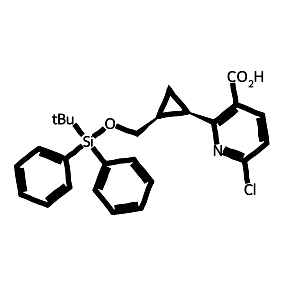 CC(C)(C)[Si](OC[C@H]1C[C@H]1c1nc(Cl)ccc1C(=O)O)(c1ccccc1)c1ccccc1